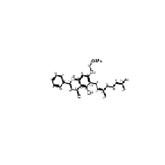 COCOc1cc2oc(-c3ccccc3)cc(=O)c2c(O)c1C/C=C(/C)CCC=C(C)C